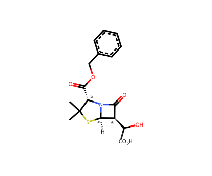 CC1(C)S[C@@H]2[C@H](C(O)C(=O)O)C(=O)N2[C@H]1C(=O)OCc1ccccc1